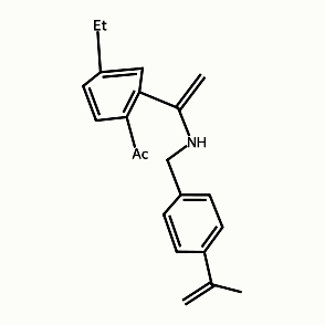 C=C(C)c1ccc(CNC(=C)c2cc(CC)ccc2C(C)=O)cc1